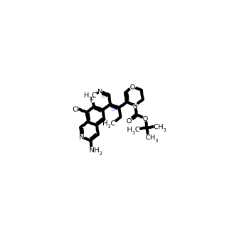 CC/C(C1=COCCN1C(=O)OC(C)(C)C)=C(/C=N\C)c1cc2cc(N)ncc2c(Cl)c1F